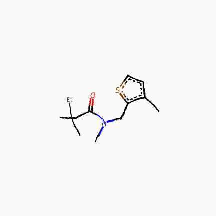 CCC(C)(C)C(=O)N(C)Cc1sccc1C